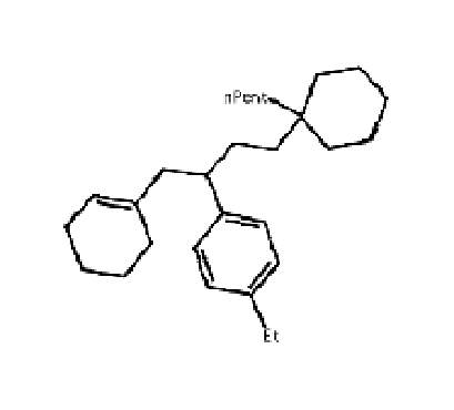 CCCCCC1(CCC(CC2=CCCCC2)c2ccc(CC)cc2)CCCCC1